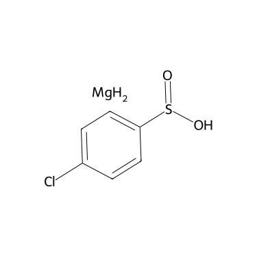 O=S(O)c1ccc(Cl)cc1.[MgH2]